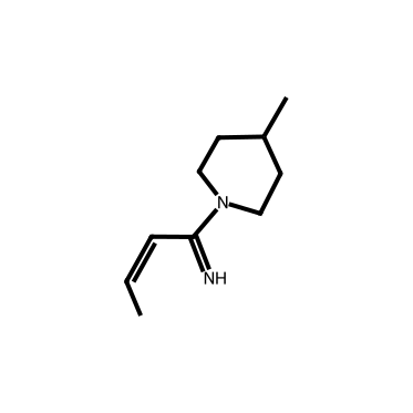 C/C=C\C(=N)N1CCC(C)CC1